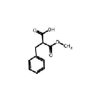 COC(=O)C(Cc1ccccc1)C(=O)O